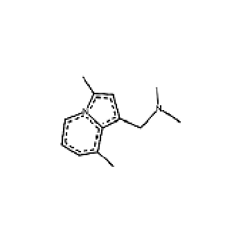 Cc1cccn2c(C)cc(CN(C)C)c12